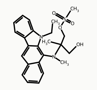 CCn1c2ccccc2c2cc3ccccc3c(N(C)C(C)(CO)COS(C)(=O)=O)c21